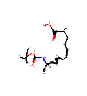 COC(=O)[C@@H](C)CC/C=C\CC[C@@H](C)NC(=O)OC(C)(C)C